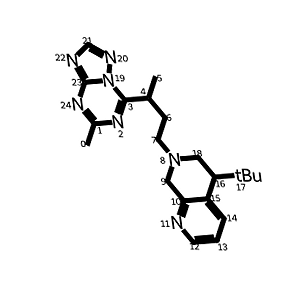 Cc1nc(C(C)CCN2Cc3ncccc3C(C(C)(C)C)C2)n2ncnc2n1